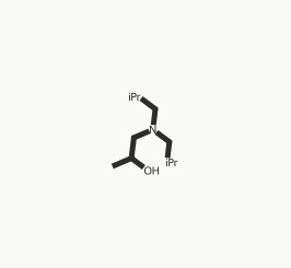 CC(C)CN(CC(C)C)CC(C)O